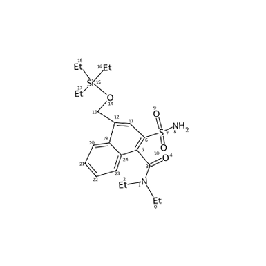 CCN(CC)C(=O)c1c(S(N)(=O)=O)cc(CO[Si](CC)(CC)CC)c2ccccc12